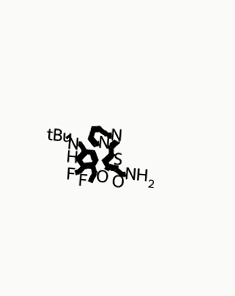 CC(Oc1cc(-c2cnc3ccccn23)sc1C(N)=O)c1ccc(CNC(C)(C)C)cc1C(F)F